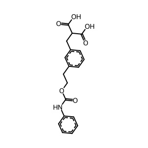 O=C(Nc1ccccc1)OCCc1cccc(CC(C(=O)O)C(=O)O)c1